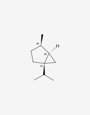 CC(C)[C@@]12CC[C@@H](C)[C@H]1C2